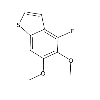 COc1cc2sccc2c(F)c1OC